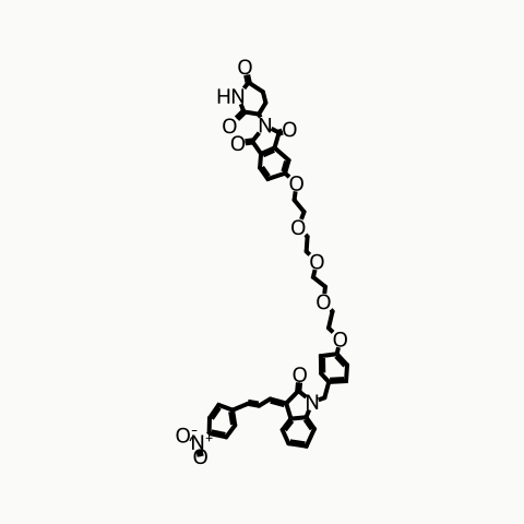 O=C1CCC(N2C(=O)c3ccc(OCCOCCOCCOCCOc4ccc(CN5C(=O)/C(=C/C=C/c6ccc([N+](=O)[O-])cc6)c6ccccc65)cc4)cc3C2=O)C(=O)N1